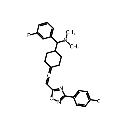 CN(C)C(c1cccc(F)c1)C1CCC(=C=Cc2nc(-c3ccc(Cl)cc3)no2)CC1